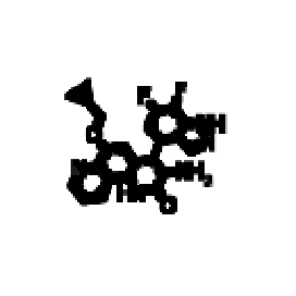 Nc1c(-c2cc(F)c(F)c3[nH]ncc23)c2cc(OCC3CC3)c3ncccc3c2[nH]c1=O